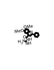 COc1cc2nc(-c3ccccc3)cc(C(=O)NC(=N)N)c2cc1OC